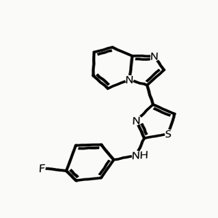 Fc1ccc(Nc2nc(-c3cnc4ccccn34)cs2)cc1